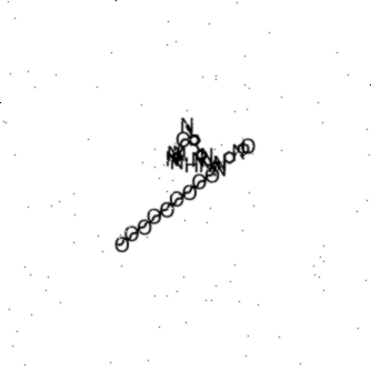 COCCOCCOCCOCCOCCOCCOCCOCCOc1nn([C@H]2CC[C@H](N3C[C@@H](C)O[C@@H](C)C3)CC2)cc1Nc1ncc(-c2ccc(C#N)c(O[C@@H](C)Cn3cnnn3)c2)cn1